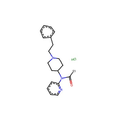 CCC(=O)N(c1ccccn1)C1CCN(CCc2ccccc2)CC1.Cl